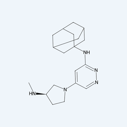 CN[C@@H]1CCN(c2cnnc(NC34CC5CC(CC(C5)C3)C4)c2)C1